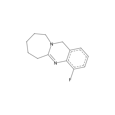 Fc1cccc2c1N=C1CCCCCN1C2